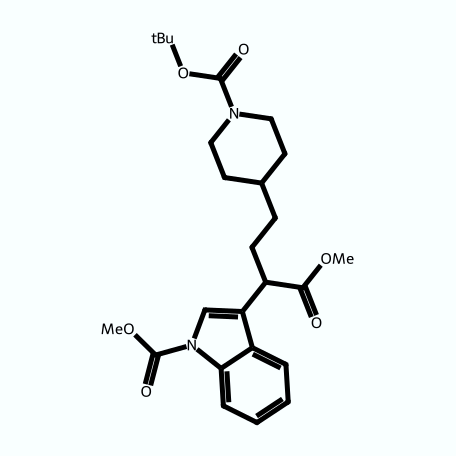 COC(=O)C(CCC1CCN(C(=O)OC(C)(C)C)CC1)c1cn(C(=O)OC)c2ccccc12